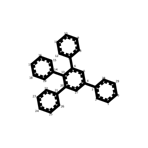 c1ccc(-c2cc(-c3ccccc3)c(-c3ccccc3)c(-c3ccccc3)c2)cc1